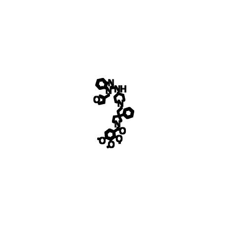 COc1ccc(C(=O)N2CCC(CCN3CCC(Nc4nc5ccccc5n4Cc4ccoc4)CC3)(c3ccccc3)C2)c(OC)c1OC